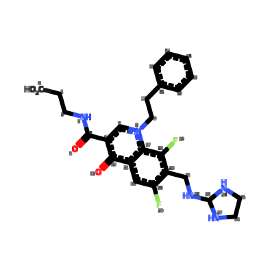 O=C(O)CCNC(=O)c1cn(CCc2ccccc2)c2c(F)c(CNC3NCCN3)c(F)cc2c1=O